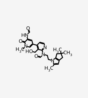 Cc1cc2c(n1CCN(C=O)c1nccc(-c3cc(NC=O)c(=O)n(C)c3)c1CO)CC(C)(C)C2